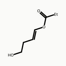 CCC(=O)OC=CCCO